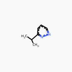 CC(C)c1c[c]cnn1